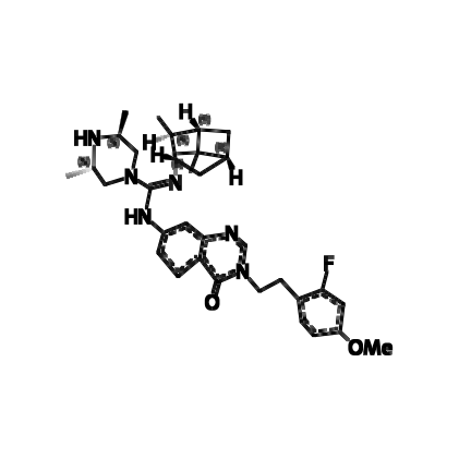 COc1ccc(CCn2cnc3cc(NC(=N[C@H]4C[C@H]5C[C@@H]([C@@H]4C)C5(C)C)N4C[C@H](C)N[C@@H](C)C4)ccc3c2=O)c(F)c1